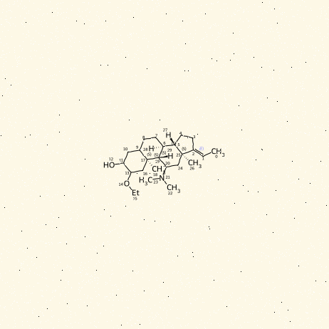 C/C=C1\CC[C@H]2[C@@H]3CCC4CC(O)C(OCC)C[C@]4(C)[C@H]3C(N(C)C)C[C@]12C